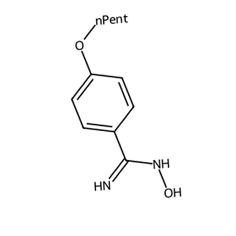 CCCCCOc1ccc(C(=N)NO)cc1